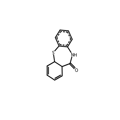 O=C1Nc2ccccc2SC2C=CC=CC12